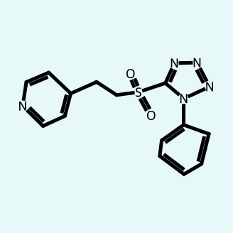 O=S(=O)(CCc1ccncc1)c1nnnn1-c1ccccc1